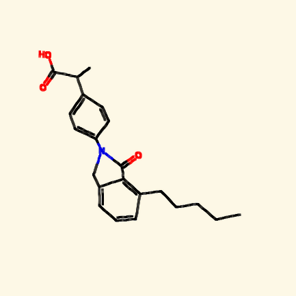 CCCCCc1cccc2c1C(=O)N(c1ccc(C(C)C(=O)O)cc1)C2